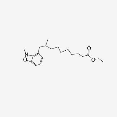 CCOC(=O)CCCCCCCC(C)Cc1cccc2on(C)c12